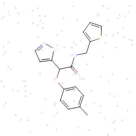 Cc1ccc(OC(C(=O)NCc2cccs2)c2ccn[nH]2)cc1